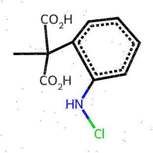 CC(C(=O)O)(C(=O)O)c1ccccc1NCl